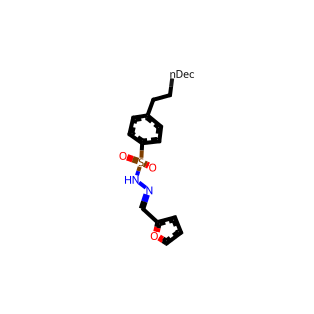 CCCCCCCCCCCCc1ccc(S(=O)(=O)NN=Cc2ccco2)cc1